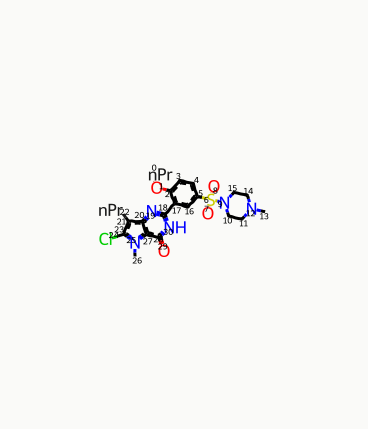 CCCOc1ccc(S(=O)(=O)N2CCN(C)CC2)cc1-c1nc2c(CCC)c(Cl)n(C)c2c(=O)[nH]1